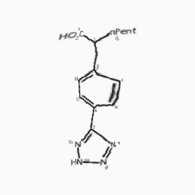 CCCCCC(C(=O)O)c1ccc(-c2nn[nH]n2)cc1